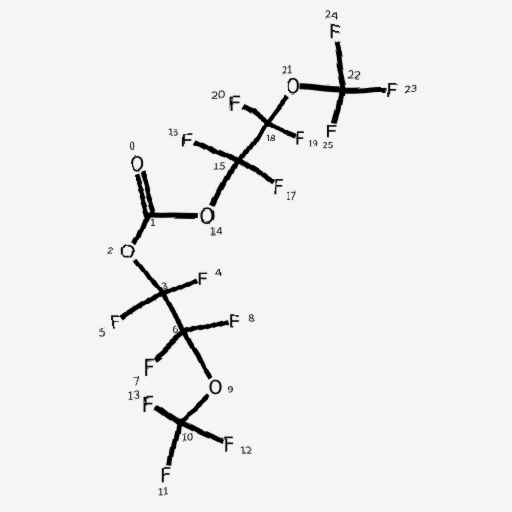 O=C(OC(F)(F)C(F)(F)OC(F)(F)F)OC(F)(F)C(F)(F)OC(F)(F)F